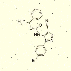 CC(OC(=O)Nc1c(C#N)cnn1-c1ccc(Br)cc1)c1ccccc1